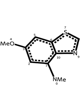 CNc1cc(OC)cc2scnc12